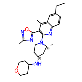 CCc1ccc2nc(N3CC[C@@H](NC4CCOCC4)C[C@H]3C)c(-c3nc(C)no3)c(C)c2c1